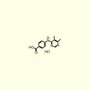 Cc1ncnc(Nc2ccc(C(=O)O)cc2)c1C.Cl